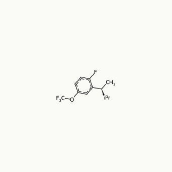 CC(C)[C@H](C)c1cc(OC(F)(F)F)ccc1F